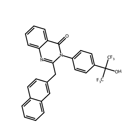 O=c1c2ccccc2nc(Cc2ccc3ccccc3c2)n1-c1ccc(C(O)(C(F)(F)F)C(F)(F)F)cc1